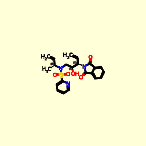 C=C[C@@H](C)N(C[C@H](O)[C@H](C=C)N1C(=O)c2ccccc2C1=O)S(=O)(=O)c1ccccn1